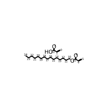 C=CC(=O)O.C=CC(=O)OCCCCCCCCCCCCCCC